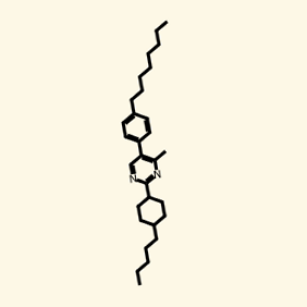 CCCCCCCCc1ccc(-c2cnc(C3CCC(CCCCC)CC3)nc2C)cc1